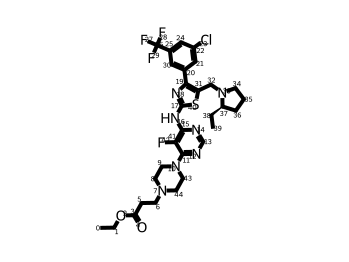 CCOC(=O)CCN1CCN(c2ncnc(Nc3nc(-c4cc(Cl)cc(C(F)(F)F)c4)c(CN4CCC[C@H]4CC)s3)c2F)CC1